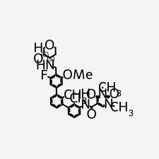 COc1cc(-c2cccc(-c3cccc(NC(=O)c4cn(C)c(=O)n(C)c4=O)c3Cl)c2C)cc(F)c1CN[C@H]1CCOC[C@H]1O